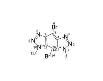 Cn1nnc2c(Br)c3nnn(C)c3c(Br)c21